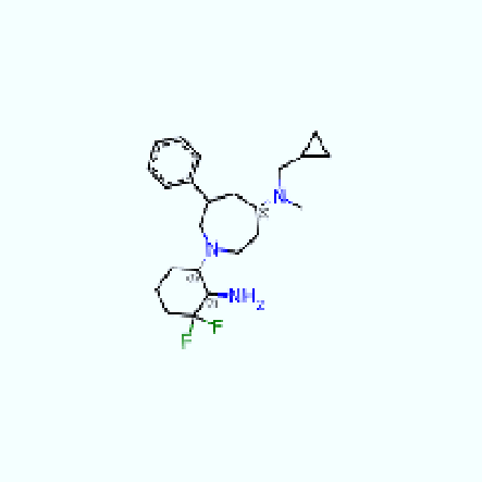 CN(CC1CC1)[C@@H]1CCN([C@H]2CCCC(F)(F)[C@@H]2N)CC(c2ccccc2)C1